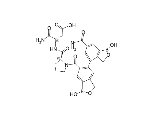 NC(=O)c1cc2c(c(-c3cc4c(cc3C(=O)N3CCC[C@H]3C(=O)N[C@@H](CC(=O)O)C(N)=O)B(O)OC4)c1)COB2O